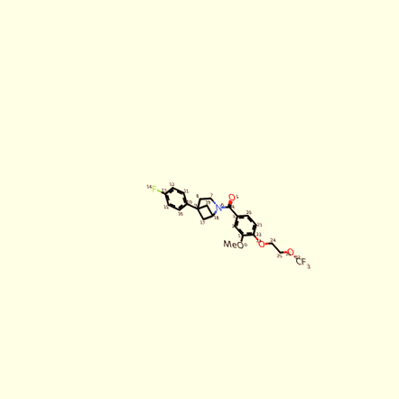 COc1cc(C(=O)N2CCC3(c4ccc(F)cc4)CC2C3)ccc1OCCOC(F)(F)F